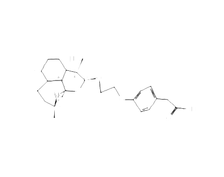 C[C@H]1[C@@H](OCCOc2ccc(CC(=O)O)cc2)O[C@@H]2O[C@@]3(C)CCC4[C@H](C)CC[C@@H]1[C@]42OO3